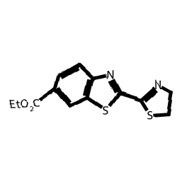 CCOC(=O)c1ccc2nc(C3=NCCS3)sc2c1